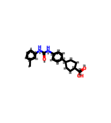 Cc1cccc(NC(=O)Nc2ccc(C3CCC(C(=O)O)CC3)cc2)c1